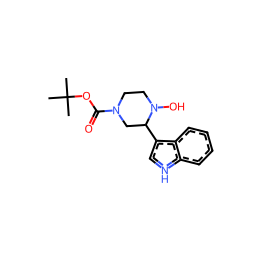 CC(C)(C)OC(=O)N1CCN(O)C(c2c[nH]c3ccccc23)C1